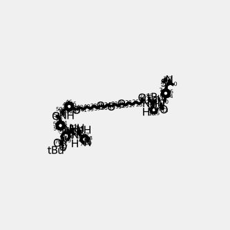 Cc1ncsc1-c1ccc(CNC(=O)[C@@H]2CCCN2C(=O)C(NC(=O)CCCCCOCCOCCOCCCCCCOc2cccc([C@@H](C)NC(=O)c3cccc(NC4(C(=N)NC(=N)c5ccncc5)CCN(C(=O)OC(C)(C)C)CC4)c3)c2)C(C)(C)C)cc1